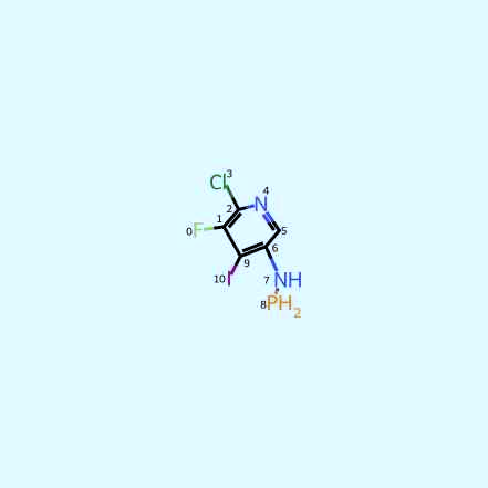 Fc1c(Cl)ncc(NP)c1I